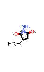 CC[C@H]1CC(=O)N(N)C1=O